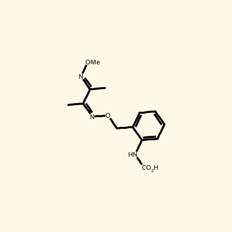 CO/N=C(\C)C(C)=NOCc1ccccc1NC(=O)O